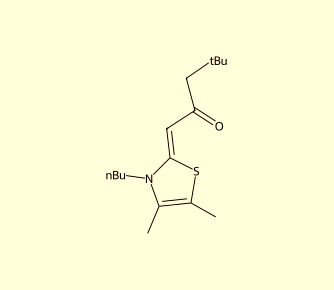 CCCCN1C(C)=C(C)S/C1=C\C(=O)CC(C)(C)C